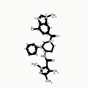 Cc1nn(C)c(C(=O)N[C@@H]2CCN(C(=O)c3cc(Cl)c4ncn(C)c4c3)C[C@@H]2c2ccccc2)c1C